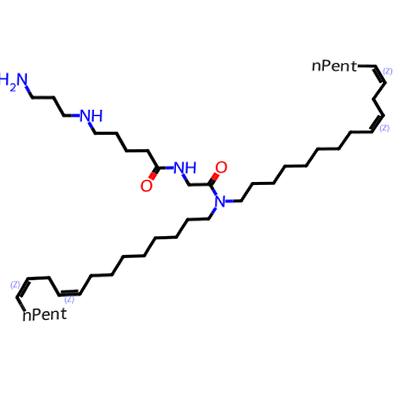 CCCCC/C=C\C/C=C\CCCCCCCCN(CCCCCCCC/C=C\C/C=C\CCCCC)C(=O)CNC(=O)CCCCNCCCN